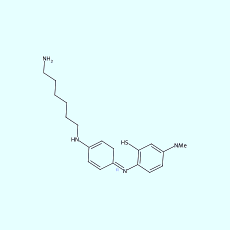 CNc1ccc(/N=C2/C=CC(NCCCCCCN)=CC2)c(S)c1